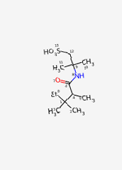 CCC(C)(C)C(C)C(=O)NC(C)(C)CS(=O)(=O)O